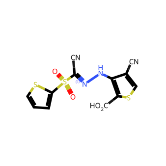 N#C/C(=N\Nc1c(C#N)csc1C(=O)O)S(=O)(=O)c1cccs1